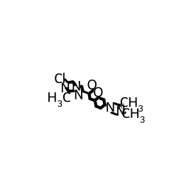 Cc1nc(Cl)cn2cc(-c3cc4ccc(N5CCN(C)[C@H](C)C5)cc4oc3=O)nc12